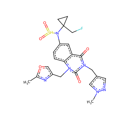 Cc1nc(Cn2c(=O)n(Cc3cnn(C)c3)c(=O)c3cc(N([SH](=O)=O)C4(CF)CC4)ccc32)co1